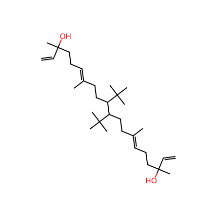 C=CC(C)(O)CC/C=C(\C)CCC(C(CC/C(C)=C/CCC(C)(O)C=C)C(C)(C)C)C(C)(C)C